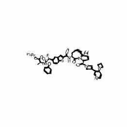 CCCOC(=O)[C@H](C)NP(=O)(Oc1ccccc1)[C@H](F)c1ccc2sc(C(=O)N[C@H]3CCC[C@H]4CC[C@@H](C(=O)N5CC(c6cnccc6N6CCC6)C5)N4C3=O)cc2c1